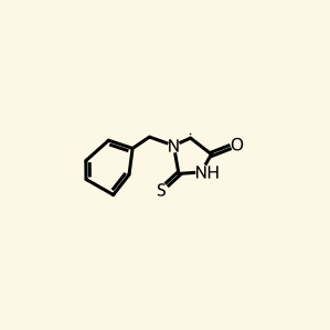 O=C1[CH]N(Cc2ccccc2)C(=S)N1